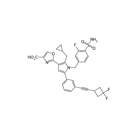 NS(=O)(=O)c1ccc(Cn2c(-c3cccc(C#CC4CC(F)(F)C4)c3)cc(-c3nc(C(=O)O)co3)c2CC2CC2)cc1F